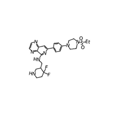 CCS(=O)(=O)N1CCN(c2ccc(-c3cc4nccnc4c(NCC4CNCCC4(F)F)n3)cc2)CC1